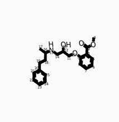 COC(=O)c1ccccc1OCC(O)CNC(C)CCc1ccccc1